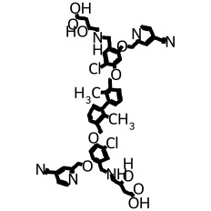 Cc1c(COc2cc(OCc3cc(C#N)ccn3)c(CNCC(O)CC(=O)O)cc2Cl)cccc1-c1cccc(COc2cc(OCc3cc(C#N)ccn3)c(CNCC(O)CC(=O)O)cc2Cl)c1C